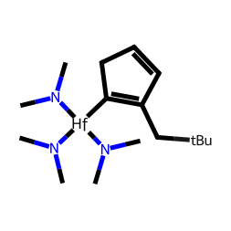 C[N](C)[Hf]([C]1=C(CC(C)(C)C)C=CC1)([N](C)C)[N](C)C